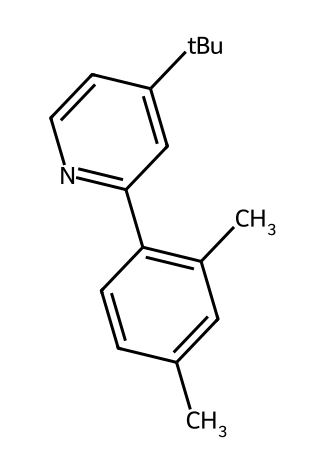 Cc1ccc(-c2cc(C(C)(C)C)ccn2)c(C)c1